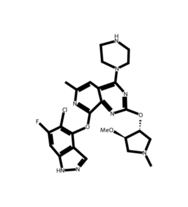 CO[C@@H]1CN(C)C[C@H]1Oc1nc(N2CCNCC2)c2cc(C)nc(Oc3c(Cl)c(F)cc4[nH]ncc34)c2n1